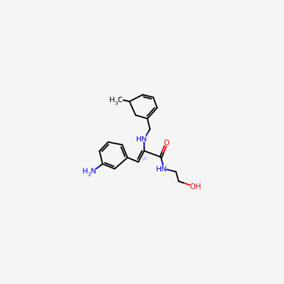 CC1C=CC=C(CN/C(=C\c2cccc(N)c2)C(=O)NCCO)C1